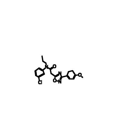 CCCN(C(=O)Cc1nc(C2=CC=C(OC)CC2)no1)c1cccc(Cl)c1